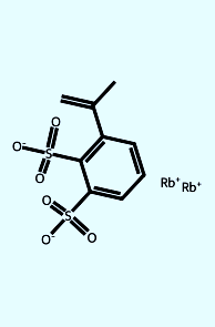 C=C(C)c1cccc(S(=O)(=O)[O-])c1S(=O)(=O)[O-].[Rb+].[Rb+]